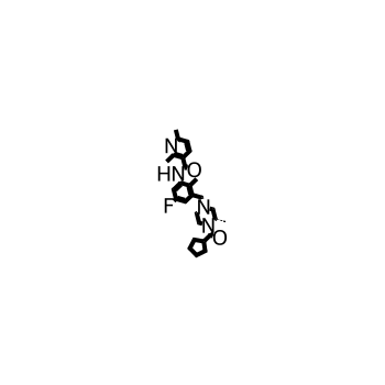 Cc1ccc(C(=O)Nc2cc(F)cc(CN3CCN(C(=O)C4CCCC4)[C@@H](C)C3)c2C)c(C)n1